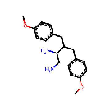 COc1ccc(CC(Cc2ccc(OC)cc2)C(N)CN)cc1